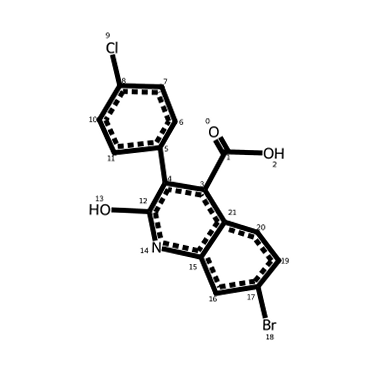 O=C(O)c1c(-c2ccc(Cl)cc2)c(O)nc2cc(Br)ccc12